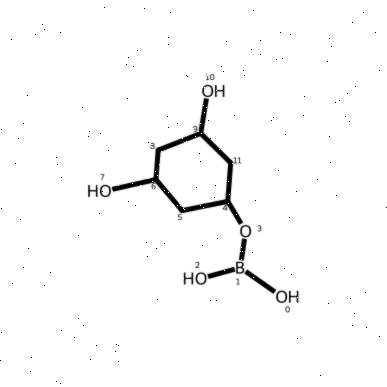 OB(O)OC1CC(O)CC(O)C1